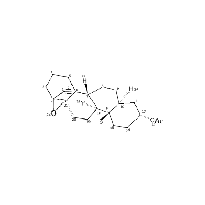 C#CC12CCCC3[C@@H]4CC[C@H]5C[C@H](OC(C)=O)CC[C@]5(C)[C@H]4CC[C@@]31O2